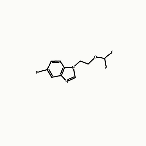 Fc1ccc2c(c1)ncn2CCOC(F)F